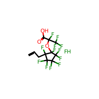 C=CCC1(F)C(F)(F)C(F)(F)C(F)(F)C1(F)OC(F)(C(=O)O)C(F)(F)F.F